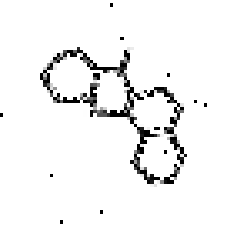 O=c1c2ccccc2[nH]c2c1ccc1ccccc12